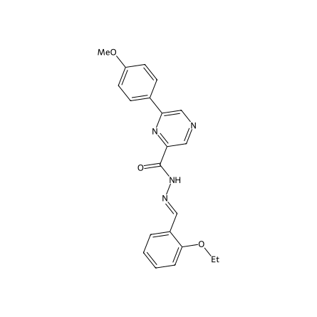 CCOc1ccccc1C=NNC(=O)c1cncc(-c2ccc(OC)cc2)n1